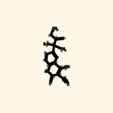 COC(=O)C(C)(C)c1cc2c(O)c(C#N)c(=O)[nH]c2cn1